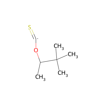 CC(O[C]=S)C(C)(C)C